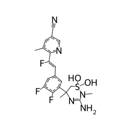 Cc1cc(C#N)cnc1C(F)=Cc1cc(F)c(F)c(C2(C)CS(O)(O)N(C)C(N)=N2)c1